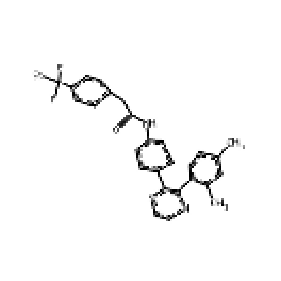 CCC(F)(F)c1ccc(CC(=O)Nc2ccc(-c3nccnc3-c3ccc(C)cc3C)cc2)cc1